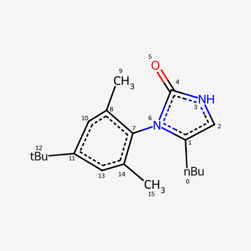 CCCCc1c[nH]c(=O)n1-c1c(C)cc(C(C)(C)C)cc1C